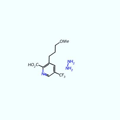 COCCCc1cc(C(F)(F)F)cnc1C(=O)O.NN